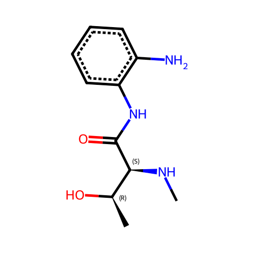 CN[C@H](C(=O)Nc1ccccc1N)[C@@H](C)O